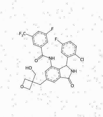 O=C(Nc1cc(CC2(CO)COC2)cc2c1C(c1cc(F)ccc1Cl)NC2=O)c1cc(F)cc(C(F)(F)F)c1